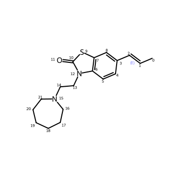 C/C=C/c1ccc2c(c1)sc(=O)n2CCN1CCCCCC1